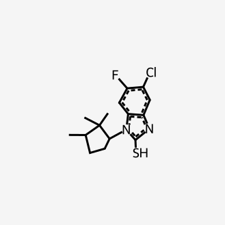 CC1CCC(n2c(S)nc3cc(Cl)c(F)cc32)C1(C)C